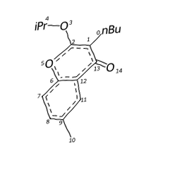 CCCCc1c(OC(C)C)oc2ccc(C)cc2c1=O